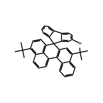 CC(C)(C)c1cc2c(c3ccccc13)-c1cccc3c(C(C)(C)C)ccc(c13)C21c2ccccc2-c2ccc(Br)cc21